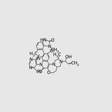 C=CC(O)N1CC2CCOc3c(c4cc(Cl)c(-c5c(C)ccc6[nH]c(=O)n(C)c56)c(F)c4n(-c4c(C(C)C)ncnc4C(C)C)c3=O)N2CC1C